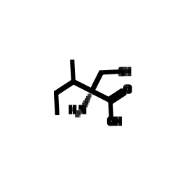 CCC(C)[C@@](N)(CS)C(=O)O